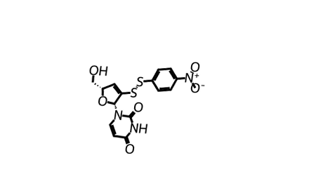 O=c1ccn([C@@H]2O[C@H](CO)C=C2SSc2ccc([N+](=O)[O-])cc2)c(=O)[nH]1